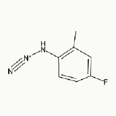 Cc1cc(F)ccc1N[N+]#N